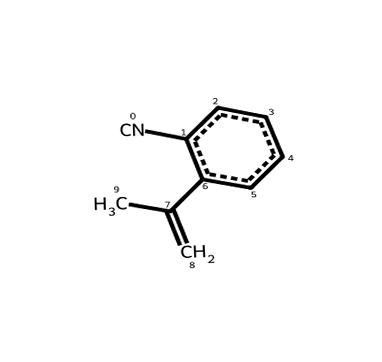 [C-]#[N+]c1ccccc1C(=C)C